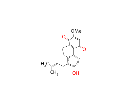 COC1=CC(=O)C2=C(CCc3c2ccc(O)c3CC=C(C)C)C1=O